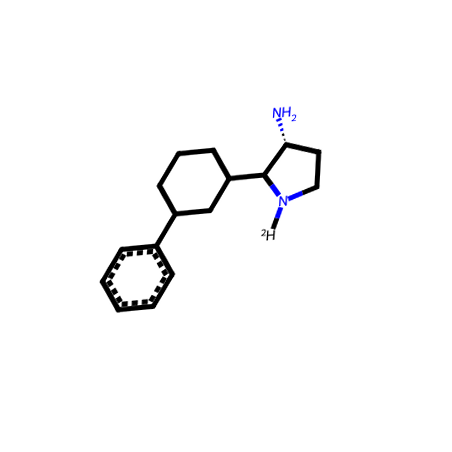 [2H]N1CC[C@@H](N)C1C1CCCC(c2ccccc2)C1